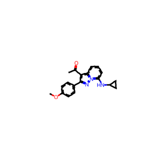 COc1ccc(-c2nn3c(NC4CC4)cccc3c2C(C)=O)cc1